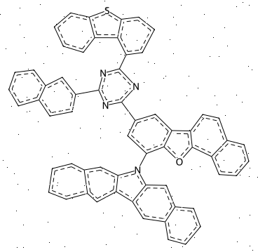 c1ccc2cc(-c3nc(-c4cc(-n5c6cc7ccccc7cc6c6cc7ccccc7cc65)c5oc6c7ccccc7ccc6c5c4)nc(-c4cccc5sc6ccccc6c45)n3)ccc2c1